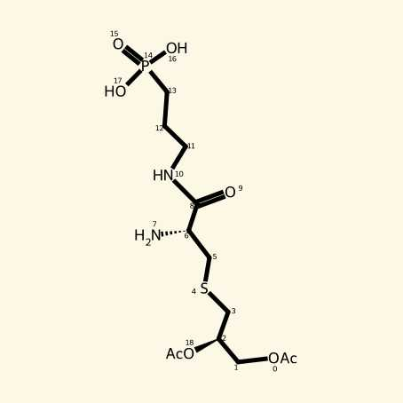 CC(=O)OC[C@H](CSC[C@H](N)C(=O)NCCCP(=O)(O)O)OC(C)=O